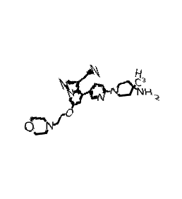 CC1(N)CCN(c2ccc(-c3cc(OCCN4CCOCC4)cn4ncc(C#N)c34)cn2)CC1